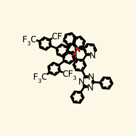 FC(F)(F)c1ccc(-c2ccc3c(c2)c2ccccc2n3-c2ccc(-c3nc(-c4ccccc4)nc(-c4ccccc4)n3)cc2-c2ncccc2-n2c3ccccc3c3cc(-c4ccc(C(F)(F)F)cc4C(F)(F)F)ccc32)c(C(F)(F)F)c1